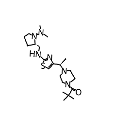 C[C@H](c1csc(NC[C@@H]2CCCN2N(C)C)n1)N1CCN(C(=O)C(C)(C)C)CC1